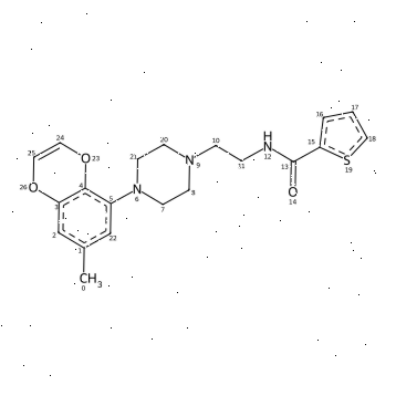 Cc1cc2c(c(N3CCN(CCNC(=O)c4cccs4)CC3)c1)OC=CO2